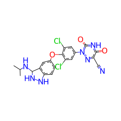 CC(C)NC1NNc2ccc(Oc3c(Cl)cc(-n4nc(C#N)c(=O)[nH]c4=O)cc3Cl)cc21